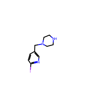 Ic1ccc(CN2CCNCC2)cn1